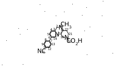 CN(Cc1ccc(-c2ccc(C#N)cc2)cn1)C1CCN(C(=O)O)CC1